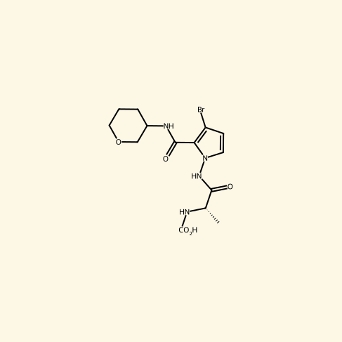 C[C@H](NC(=O)O)C(=O)Nn1ccc(Br)c1C(=O)NC1CCCOC1